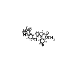 COC(=O)[C@H]1CC[C@H](NCc2cc(-n3nnnc3C(F)(F)F)ccc2Cl)[C@@H]1c1ccc(F)cc1